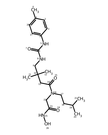 Cc1ccc(NC(=O)NCC(C)(C)CC(=O)N(CCC(C)C)CC(=O)NO)cc1